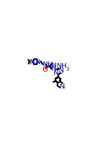 Cc1cc(-c2cnc(N)c(-n3cc(C(=O)NCCN4CCN(C(C)C)CC4)cn3)n2)cc2c1CCN(C)C2